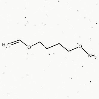 C=COCCCCON